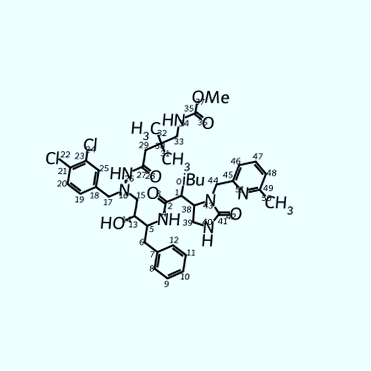 CCC(C)C(C(=O)NC(Cc1ccccc1)C(O)CN(Cc1ccc(Cl)c(Cl)c1)NC(=O)CC(C)(C)CNC(=O)OC)C1CNC(=O)N1Cc1cccc(C)n1